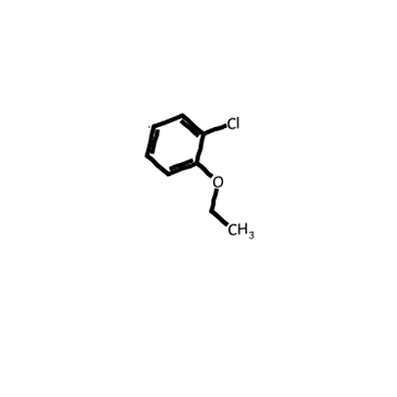 CCOc1cc[c]cc1Cl